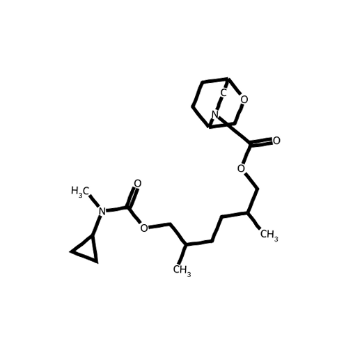 CC(CCC(C)COC(=O)N1CC2CCC1CO2)COC(=O)N(C)C1CC1